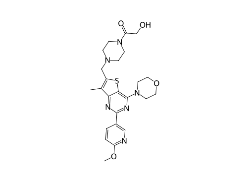 COc1ccc(-c2nc(N3CCOCC3)c3sc(CN4CCN(C(=O)CO)CC4)c(C)c3n2)cn1